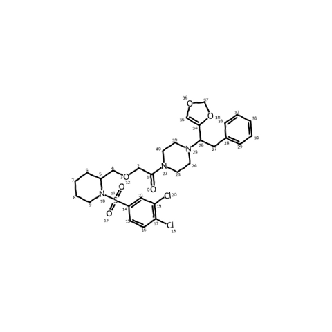 O=C(COCC1CCCCN1S(=O)(=O)c1ccc(Cl)c(Cl)c1)N1CCN(C(Cc2ccccc2)C2=COCO2)CC1